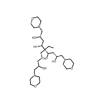 CCC(COCC(O)CN1CCOCC1)(C(O)CC(O)CN1CCOCC1)C(O)CC(O)CN1CCOCC1